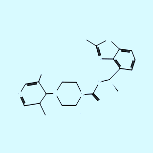 Cc1nc2c([C@@H](C)NC(=O)N3CCN(C4C(F)=CN=CC4C)C[C@H]3C)cccc2o1